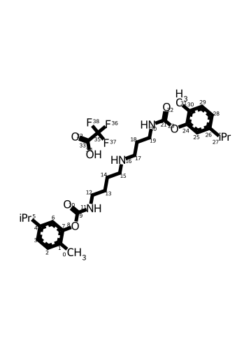 Cc1ccc(C(C)C)cc1OC(=O)NCCCCNCCCNC(=O)Oc1cc(C(C)C)ccc1C.O=C(O)C(F)(F)F